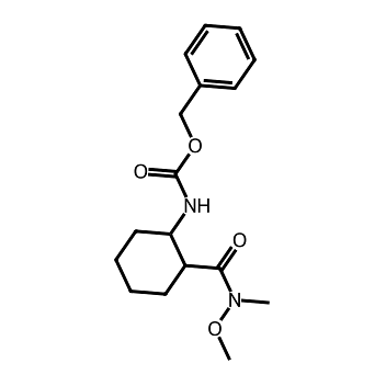 CON(C)C(=O)C1CCCCC1NC(=O)OCc1ccccc1